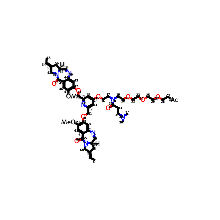 C/C=C1\C[C@H]2C=Nc3cc(OCc4cc(OCCN(CCOCCOCCOCCC(C)=O)C(=O)CCN(C)C)cc(COc5cc6c(cc5OC)C(=O)N5C/C(=C/C)C[C@H]5C=N6)n4)c(OC)cc3C(=O)N2C1